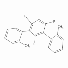 Cc1ccccc1-c1c(F)cc(F)c(-c2ccccc2C)c1Cl